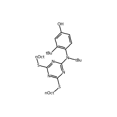 CCCCCCCCSc1nc(SCCCCCCCC)nc(N(c2ccc(O)cc2C(C)(C)C)C(C)(C)C)n1